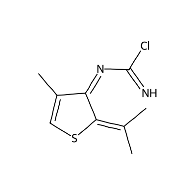 CC1=CSC(=C(C)C)/C1=N\C(=N)Cl